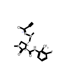 C#C/C(Cl)=N\N(C)C[C@H]1CN(C)C(=O)[C@@H]1C(=O)Nc1cccc(F)c1C(F)(F)F